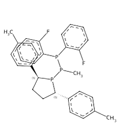 Cc1ccc([C@@H]2CC[C@@H](c3ccc(C)cc3)P2P(C)P(c2ccccc2F)c2ccccc2F)cc1